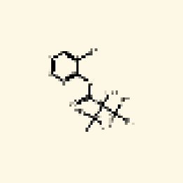 O=C(Oc1ccccc1I)C(O)(C(F)(F)F)C(F)(F)F